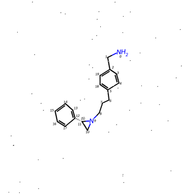 NCc1ccc(CCCN2C[C@@H]2c2ccccc2)cc1